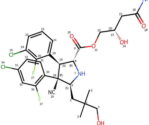 CC(C)(CO)C[C@@H]1N[C@@H](C(=O)OC[C@@H](O)CC(N)=O)[C@H](c2cccc(Cl)c2F)[C@@]1(C#N)c1ccc(Cl)cc1F